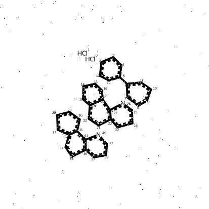 Cl.Cl.c1ccc(-c2ccccc2)cc1.c1ccc2c(c1)ccc1cccnc12.c1ccc2c(c1)ccc1cccnc12